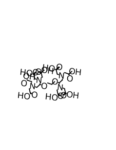 O=C(O)CN(CC(=O)O)CC(OCCOC(CN(CC(=O)O)CC(=O)O)N(CC(=O)O)CC(=O)O)N(CC(=O)O)CC(=O)O